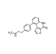 CNCCc1ccc(-c2cccc3[nH]c(=O)c4sccc4c23)cc1